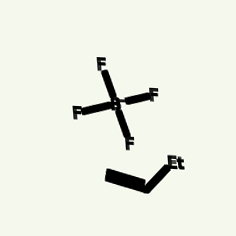 F[B-](F)(F)F.[CH2]CC=C